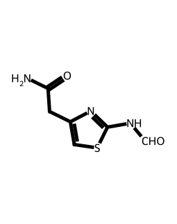 NC(=O)Cc1csc(NC=O)n1